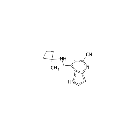 CC1(NCc2cc(C#N)nc3cc[nH]c23)CCC1